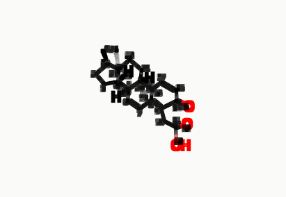 C[C@@H]1CC[C@H]2[C@@H]3C=CC4=C(CC(=O)O)C(=O)C=C[C@]4(C)[C@H]3CC[C@]12C